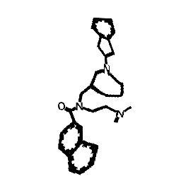 CN(C)CCN(CC1CCCN(C2Cc3ccccc3C2)C1)C(=O)c1ccc2ccccc2c1